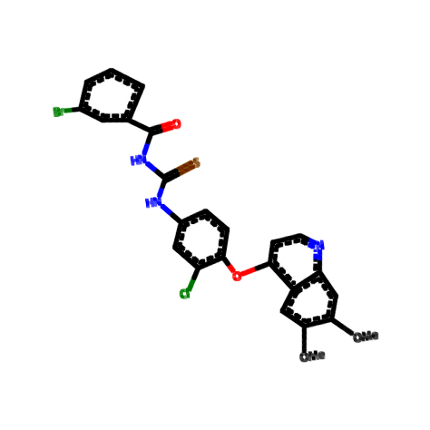 COc1cc2nccc(Oc3ccc(NC(=S)NC(=O)c4cccc(Br)c4)cc3Cl)c2cc1OC